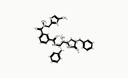 Cc1csc(CN(C)C(=O)c2cccc(C(=O)N[C@@H](Cc3ccccc3)[C@H](O)[C@H]3C[C@@H](Cc4ccccc4)C(=O)N3)c2)n1